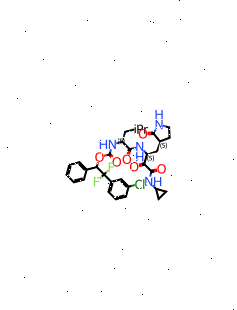 CC(C)C[C@H](NC(=O)OC(c1ccccc1)C(F)(F)c1cccc(Cl)c1)C(=O)N[C@@H](C[C@@H]1CCNC1=O)C(=O)C(=O)NC1CC1